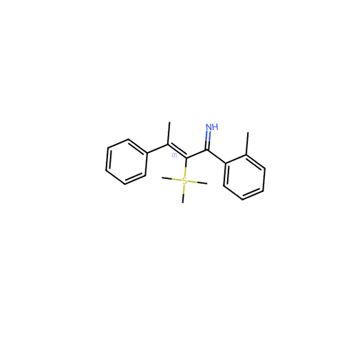 C/C(=C(\C(=N)c1ccccc1C)S(C)(C)C)c1ccccc1